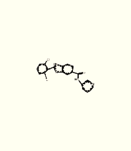 O=C(Nc1cccnc1)c1ccc2[nH]c(-c3c(Cl)cccc3Cl)nc2c1